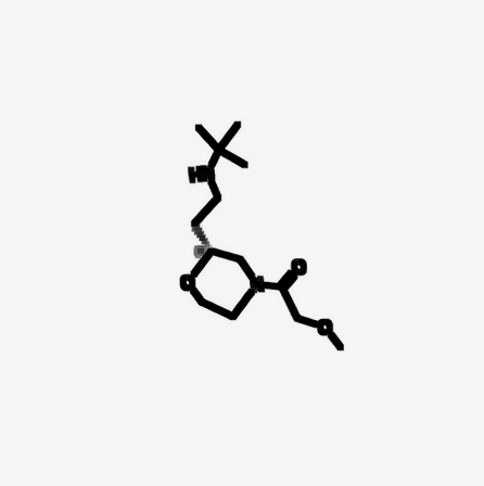 COCC(=O)N1CCO[C@H](CCNC(C)(C)C)C1